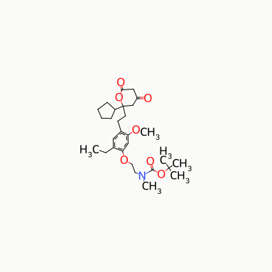 CCc1cc(CCC2(C3CCCC3)CC(=O)CC(=O)O2)c(OC)cc1OCCN(C)C(=O)OC(C)(C)C